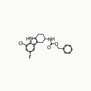 O=C(NC1CCc2[nH]c3c(Cl)cc(F)cc3c2C1)OCc1ccccc1